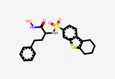 O=C(NO)C(CCc1ccccc1)[AsH]S(=O)(=O)c1ccc2c3c(sc2c1)CCCC3